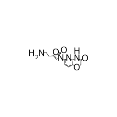 NCCc1cn(-c2ccc3c(n2)NC(=O)CO3)c(=O)o1